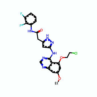 CCOc1cc(OCCCl)c2c(Nc3cc(CC(=O)Nc4cccc(F)c4F)[nH]n3)ncnc2c1